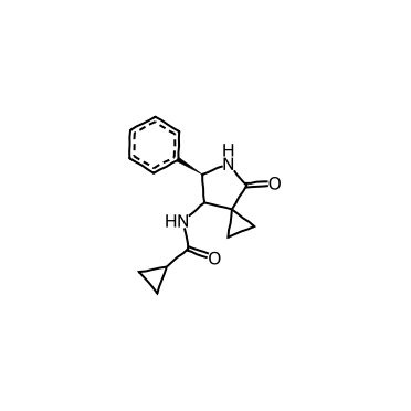 O=C(NC1[C@@H](c2ccccc2)NC(=O)C12CC2)C1CC1